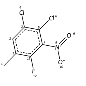 Cc1cc(Cl)c(Cl)c([N+](=O)[O-])c1F